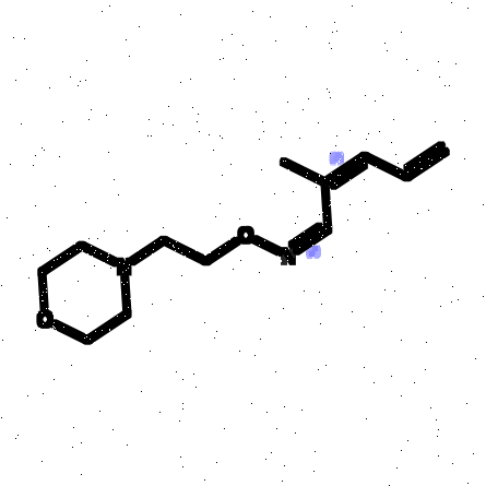 C=C/C=C(C)\C=N/OCCN1CCOCC1